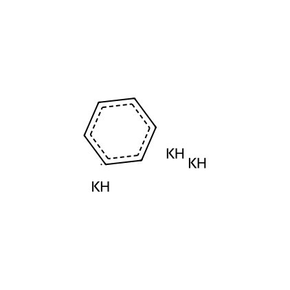 [KH].[KH].[KH].[c]1ccccc1